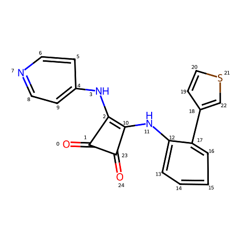 O=c1c(Nc2ccncc2)c(Nc2ccccc2-c2ccsc2)c1=O